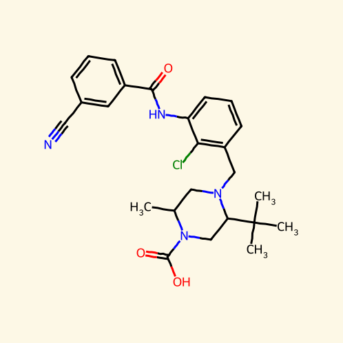 CC1CN(Cc2cccc(NC(=O)c3cccc(C#N)c3)c2Cl)C(C(C)(C)C)CN1C(=O)O